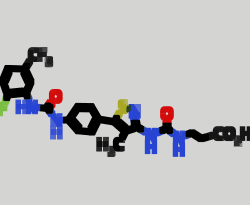 Cc1c(NC(=O)NCCC(=O)O)nsc1-c1ccc(NC(=O)Nc2cc(C(F)(F)F)ccc2F)cc1